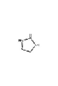 C1NNNS1